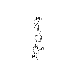 Nc1ccn(-c2ccc(CN3CCC4(CCNC4)C3)cc2)c(=O)n1